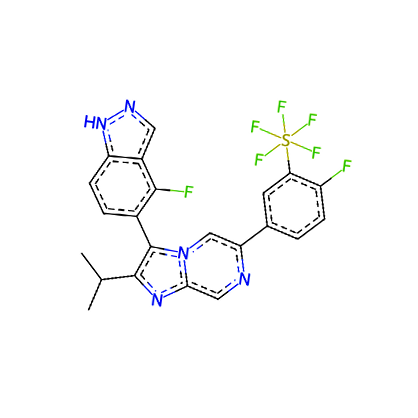 CC(C)c1nc2cnc(-c3ccc(F)c(S(F)(F)(F)(F)F)c3)cn2c1-c1ccc2[nH]ncc2c1F